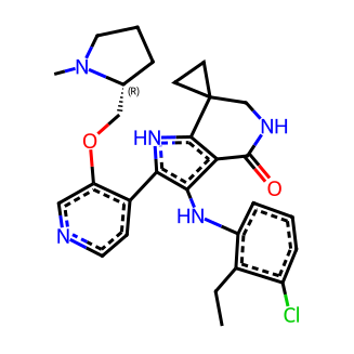 CCc1c(Cl)cccc1Nc1c(-c2ccncc2OC[C@H]2CCCN2C)[nH]c2c1C(=O)NCC21CC1